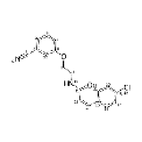 N#Cc1cccc(OCCNC(=O)/C=C\c2ccc(Cl)cc2)c1